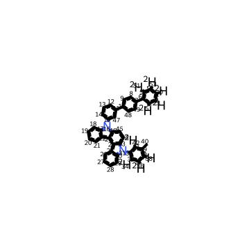 [2H]c1c([2H])c([2H])c(-c2ccc(-c3cccc(-n4c5ccccc5c5c6c7ccccc7n(-c7c([2H])c([2H])c([2H])c(C)c7[2H])c6ccc54)c3)cc2)c([2H])c1[2H]